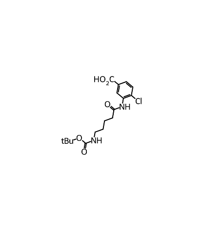 CC(C)(C)OC(=O)NCCCCC(=O)Nc1cc(C(=O)O)ccc1Cl